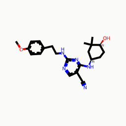 COc1ccc(CCNc2ncc(C#N)c(N[C@@H]3CC[C@H](O)C(C)(C)C3)n2)cc1